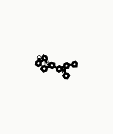 c1ccc(-c2ccc3c4cc(-c5ccc6c(c5)c5ccccc5n6-c5cccc6oc7ccccc7c56)ccc4n(-c4ccccc4)c3c2)cc1